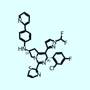 Fc1ccc([C@@H]2N=C(c3nccs3)N3C[C@@H](Nc4ccc(-c5ccccn5)cc4)CC3=C2c2ccn(C(F)F)n2)c(Cl)c1